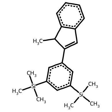 CC1C(c2cc([Si](C)(C)C)cc([Si](C)(C)C)c2)=Cc2ccccc21